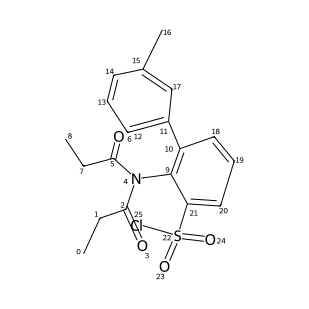 CCC(=O)N(C(=O)CC)c1c(-c2cccc(C)c2)cccc1S(=O)(=O)Cl